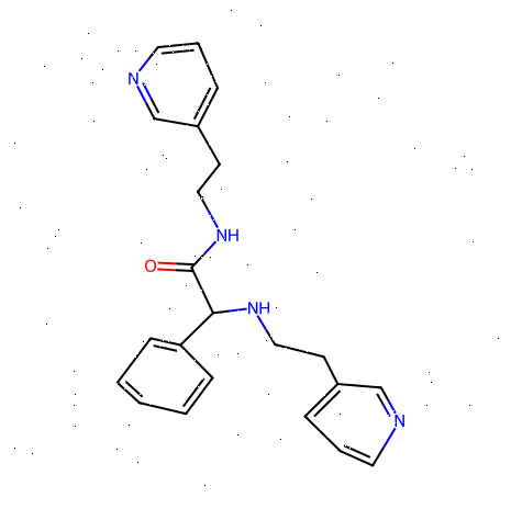 O=C(NCCc1cccnc1)C(NCCc1cccnc1)c1ccccc1